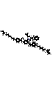 C=CC(=O)OCCCCCCOc1ccc(C(=O)Oc2ccc(OC(=O)c3ccc(OCCCCCCOC(=O)C=C)cc3)c(/C=N/N(CCC(C)C)c3nc4ccccc4s3)c2)cc1